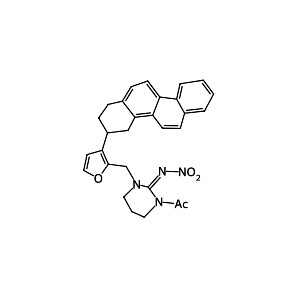 CC(=O)N1CCCN(Cc2occc2C2CCc3ccc4c(ccc5ccccc54)c3C2)C1=N[N+](=O)[O-]